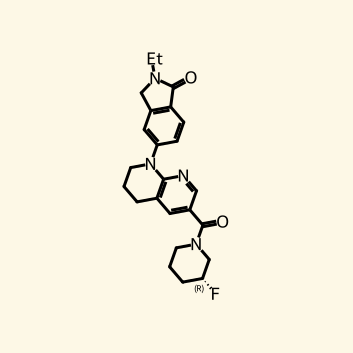 CCN1Cc2cc(N3CCCc4cc(C(=O)N5CCC[C@@H](F)C5)cnc43)ccc2C1=O